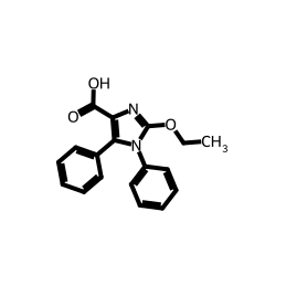 CCOc1nc(C(=O)O)c(-c2ccccc2)n1-c1ccccc1